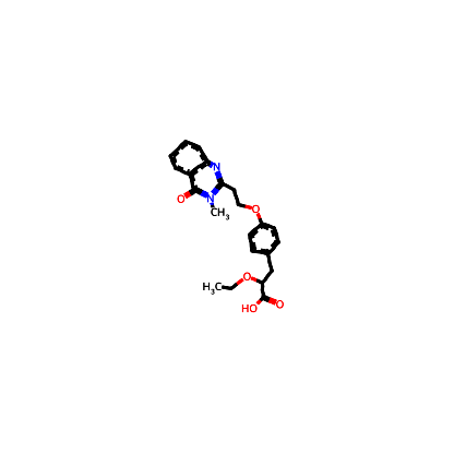 CCOC(Cc1ccc(OCCc2nc3ccccc3c(=O)n2C)cc1)C(=O)O